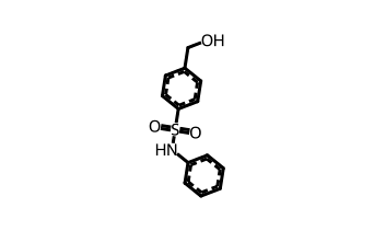 O=S(=O)(Nc1ccccc1)c1ccc(CO)cc1